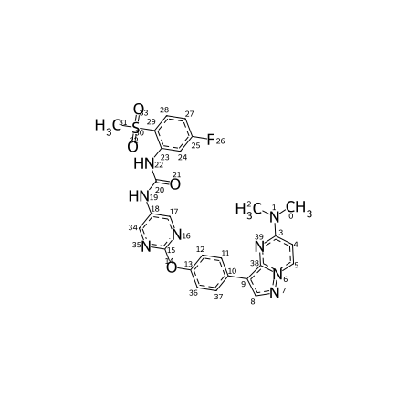 CN(C)c1ccn2ncc(-c3ccc(Oc4ncc(NC(=O)Nc5cc(F)ccc5S(C)(=O)=O)cn4)cc3)c2n1